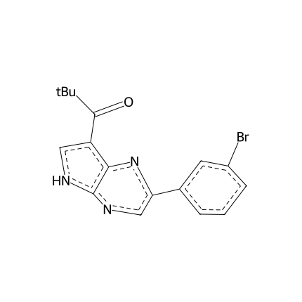 CC(C)(C)C(=O)c1c[nH]c2ncc(-c3cccc(Br)c3)nc12